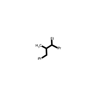 [CH2]C(C)C(CC)C(C)CC(C)C